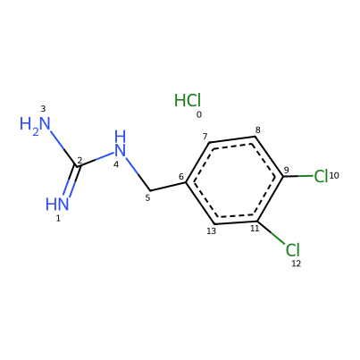 Cl.N=C(N)NCc1ccc(Cl)c(Cl)c1